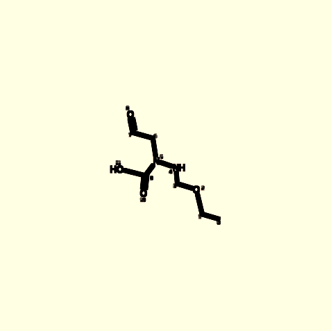 CCOCNN(CC=O)C(=O)O